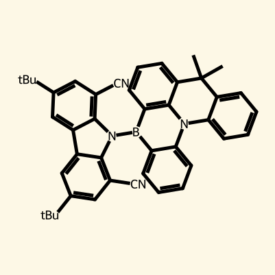 CC(C)(C)c1cc(C#N)c2c(c1)c1cc(C(C)(C)C)cc(C#N)c1n2B1c2ccccc2N2c3ccccc3C(C)(C)c3cccc1c32